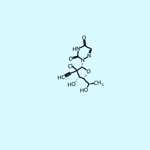 C#CC1(Cl)[C@@H](O)[C@@H]([C@@H](C)O)O[C@H]1n1ncc(=O)[nH]c1=O